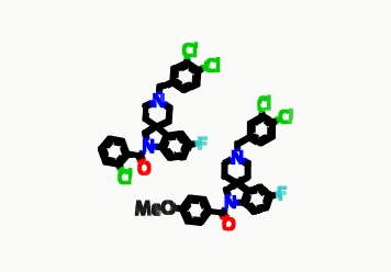 COc1ccc(C(=O)N2CC3(CCN(Cc4ccc(Cl)c(Cl)c4)CC3)c3cc(F)ccc32)cc1.O=C(c1ccccc1Cl)N1CC2(CCN(Cc3ccc(Cl)c(Cl)c3)CC2)c2cc(F)ccc21